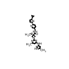 COC1(C(=O)NCc2ccc(-n3ccc(C4CC4)n3)nc2)CN(c2nc(C)cc(Nc3cc(C)[nH]n3)n2)C1